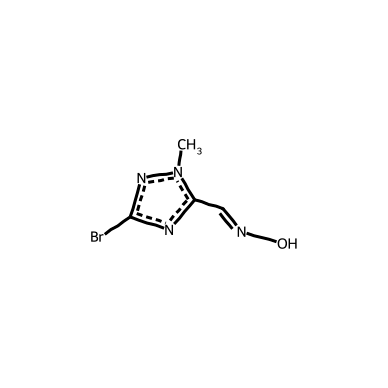 Cn1nc(Br)nc1/C=N/O